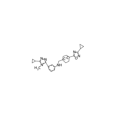 Cn1c(-c2cccc(NCC34CCC(c5nc(C6CC6)no5)(CC3)CC4)c2)nnc1C1CC1